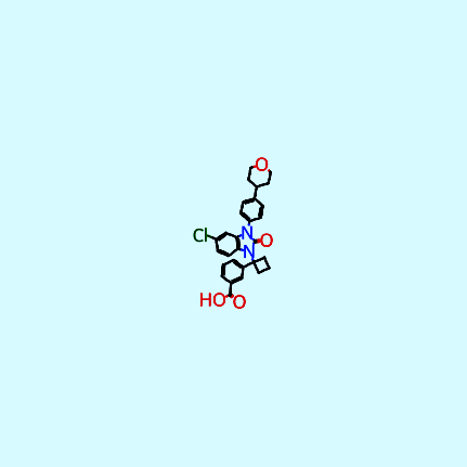 O=C(O)c1cccc(C2(n3c(=O)n(-c4ccc(C5CCOCC5)cc4)c4cc(Cl)ccc43)CCC2)c1